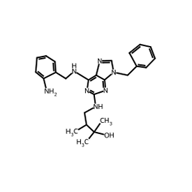 CC(CNc1nc(NCc2ccccc2N)c2ncn(Cc3ccccc3)c2n1)C(C)(C)O